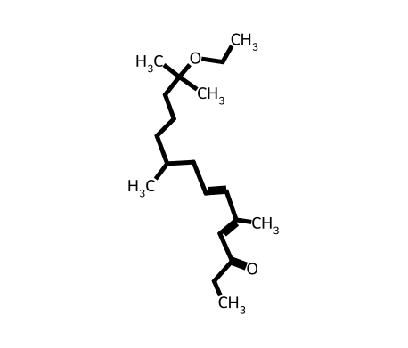 CCOC(C)(C)CCCC(C)CC=CC(C)=CC(=O)CC